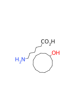 NCCCCCC(=O)O.OC1CCCCCCCCCCC1